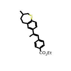 CCOC(=O)c1ccc(/C=C(\C)c2ccc3c(c2)CCC(C)CS3)cc1